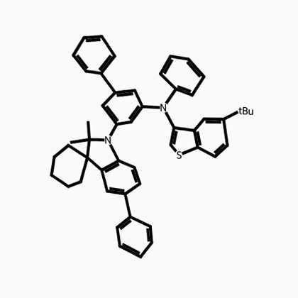 CC(C)(C)c1ccc2scc(N(c3ccccc3)c3cc(-c4ccccc4)cc(N4c5ccc(-c6ccccc6)cc5C5(CCCCC5)C4(C)C)c3)c2c1